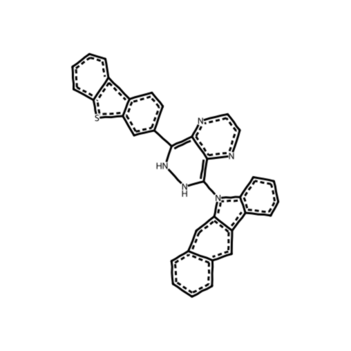 c1ccc2cc3c(cc2c1)c1ccccc1n3C1=c2nccnc2=C(c2ccc3c(c2)sc2ccccc23)NN1